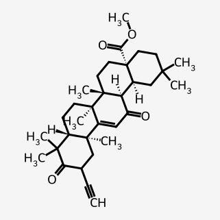 C#CC1C[C@]2(C)C3=CC(=O)[C@@H]4[C@@H]5CC(C)(C)CC[C@]5(C(=O)OC)CC[C@@]4(C)[C@]3(C)CC[C@H]2C(C)(C)C1=O